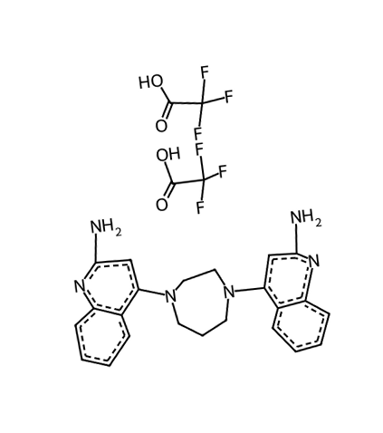 Nc1cc(N2CCCN(c3cc(N)nc4ccccc34)CC2)c2ccccc2n1.O=C(O)C(F)(F)F.O=C(O)C(F)(F)F